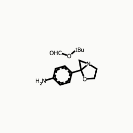 CC(C)(C)OC=O.Nc1ccc(C23CN2CCO3)cc1